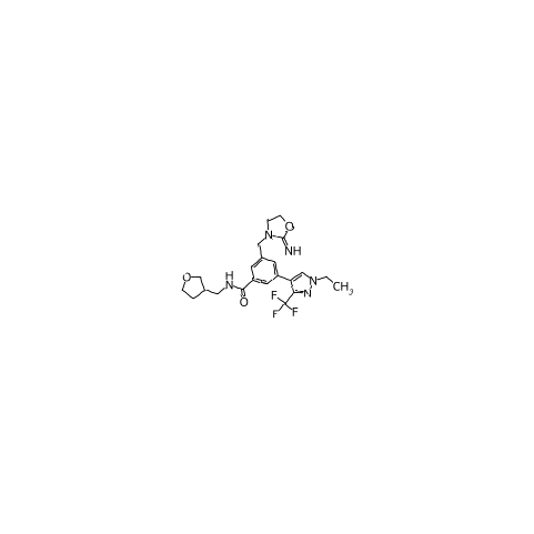 CCn1cc(-c2cc(CN3CCOC3=N)cc(C(=O)NCC3CCOC3)c2)c(C(F)(F)F)n1